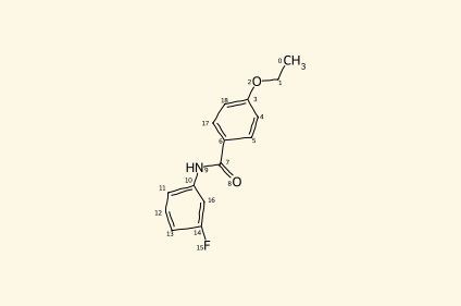 CCOc1ccc(C(=O)Nc2cccc(F)c2)cc1